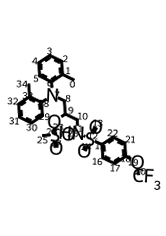 Cc1ccccc1N(CC(CNS(=O)(=O)c1ccc(OC(F)(F)F)cc1)OS(C)(=O)=O)c1ccccc1C